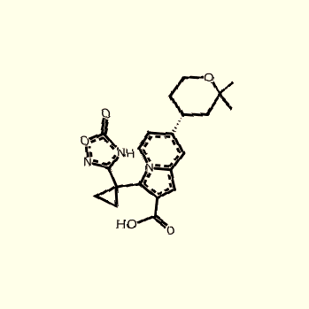 CC1(C)C[C@H](c2ccn3c(C4(c5noc(=O)[nH]5)CC4)c(C(=O)O)cc3c2)CCO1